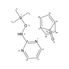 C[Si](C)(C)ONc1ncccn1.O=C1C2=CC=C1C=C2